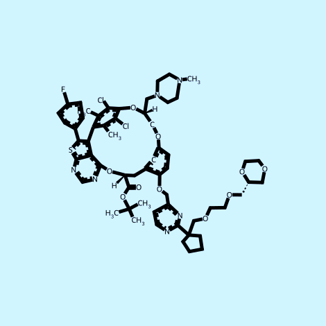 Cc1c(Cl)c2c(Cl)c(C)c1-c1c(-c3ccc(F)cc3)sc3ncnc(c13)O[C@@H](C(=O)OC(C)(C)C)Cc1cc(ccc1OCc1ccnc(C3(COCCOC[C@H]4COCCO4)CCCC3)n1)OC[C@@H](CN1CCN(C)CC1)O2